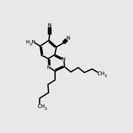 CCCCCc1nc2cc(N)c(C#N)c(C#N)c2nc1CCCCC